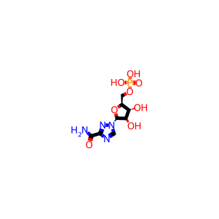 NC(=O)c1ncn([C@@H]2O[C@@H](COP(=O)(O)O)[C@H](O)[C@H]2O)n1